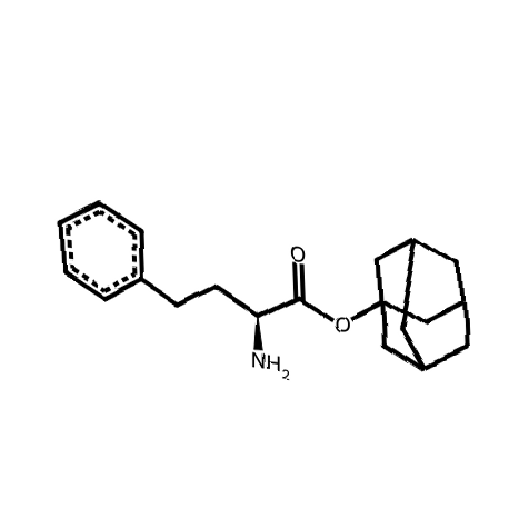 N[C@@H](CCc1ccccc1)C(=O)OC12CC3CC(CC(C3)C1)C2